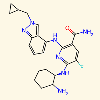 NC(=O)c1cc(F)c(N[C@@H]2CCCCC2N)nc1Nc1cccc2nn(CC3CC3)cc12